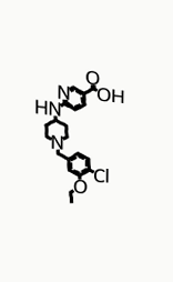 CCOc1cc(CN2CCC(Nc3ccc(C(=O)O)cn3)CC2)ccc1Cl